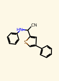 N#CC(Nc1ccccc1)c1cc(-c2ccccc2)cs1